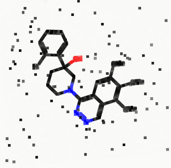 CCc1ccccc1C1(O)CCCN(c2nncc3c(OC)c(OC)c(OC)cc23)C1